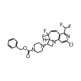 O=C(OCc1ccccc1)N1CCN([C@@H]2CN3c4cc(Cl)nc(C(F)F)c4C=CC(F)(F)[C@@H]23)CC1